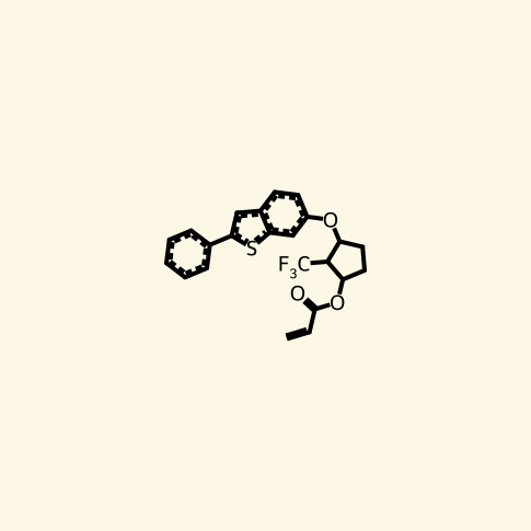 C=CC(=O)OC1CCC(Oc2ccc3cc(-c4ccccc4)sc3c2)C1C(F)(F)F